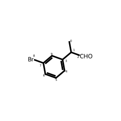 CC(C=O)c1cccc(Br)c1